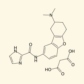 CN(C)C1CCc2oc3ccc(NC(=O)c4ncc[nH]4)cc3c2C1.O=C(O)CC(=O)O